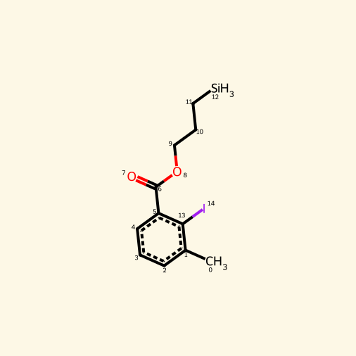 Cc1cccc(C(=O)OCCC[SiH3])c1I